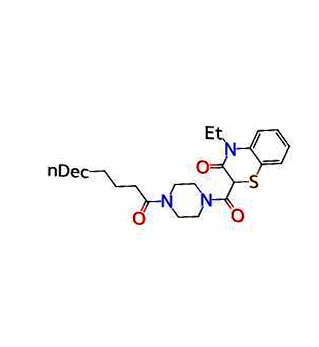 CCCCCCCCCCCCCC(=O)N1CCN(C(=O)C2Sc3ccccc3N(CC)C2=O)CC1